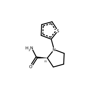 NC(=O)[C@@H]1CCCN1c1cccs1